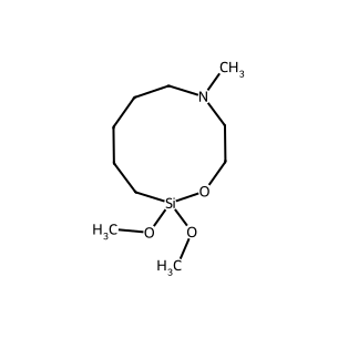 CO[Si]1(OC)CCCCCN(C)CCO1